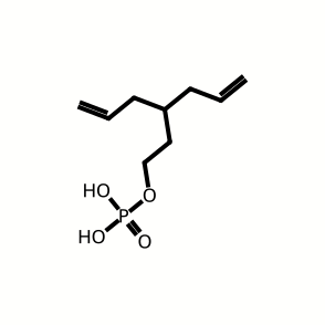 C=CCC(CC=C)CCOP(=O)(O)O